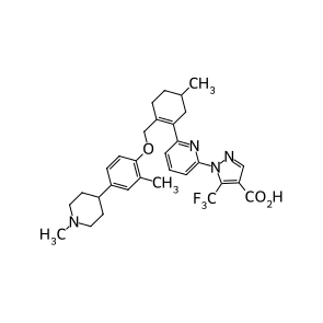 Cc1cc(C2CCN(C)CC2)ccc1OCC1=C(c2cccc(-n3ncc(C(=O)O)c3C(F)(F)F)n2)CC(C)CC1